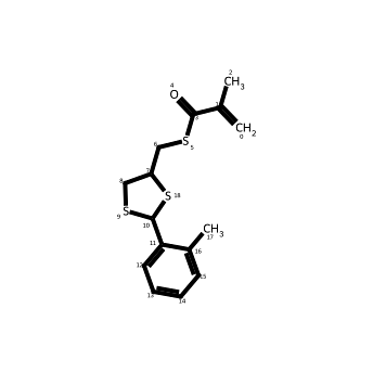 C=C(C)C(=O)SCC1CSC(c2ccccc2C)S1